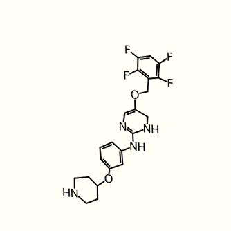 Fc1cc(F)c(F)c(COC2=CN=C(Nc3cccc(OC4CCNCC4)c3)NC2)c1F